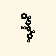 O=C(c1cccnc1)N1CCN([C@H]2CN(C(=O)c3ccc(Cl)cc3)C[C@@H]2O)CC1